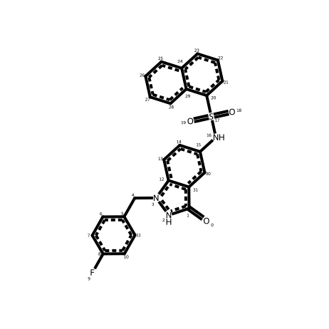 O=c1[nH]n(Cc2ccc(F)cc2)c2ccc(NS(=O)(=O)c3cccc4ccccc34)cc12